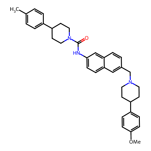 COc1ccc(C2CCN(Cc3ccc4cc(NC(=O)N5CCC(c6ccc(C)cc6)CC5)ccc4c3)CC2)cc1